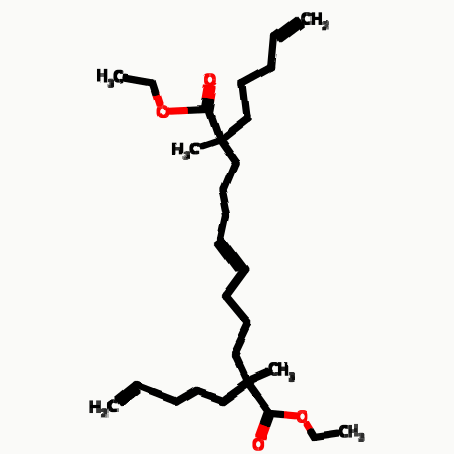 C=CCCCC(C)(CCCC=CCCCC(C)(CCCC=C)C(=O)OCC)C(=O)OCC